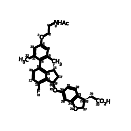 CC(=O)NCCOc1cc(C)c(-c2ccc(F)c3c2CC[C@H]3Oc2ccc3c(c2)OC[C@H]3CC(=O)O)c(C)c1